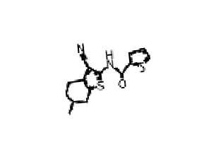 CC1CCc2c(sc(NC(=O)c3cccs3)c2C#N)C1